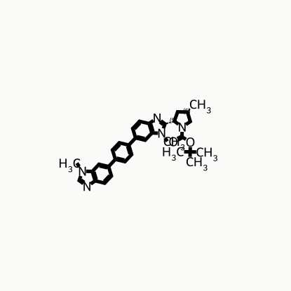 C[C@H]1C[C@@H](c2nc3ccc(-c4ccc(-c5ccc6ncn(C)c6c5)cc4)cc3n2C)N(C(=O)OC(C)(C)C)C1